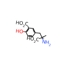 C[C@](N)(Cc1ccc(O)c(C(=O)O)c1)C(=O)O